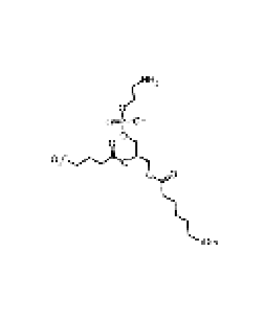 CCCCCCCCCCCCCCCC(=O)OC[C@H](COP(=O)(O)OCCN)OC(=O)CCCC(=O)O